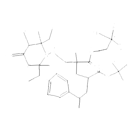 CCC1(C)CC(=O)C(C)C(C)(CC)N1OCC(C)(CC(CC(C)c1ccccc1)C(=O)OC(C)(C)C)C(=O)OCC(F)(F)F